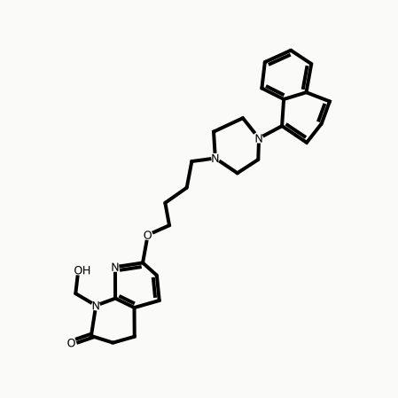 O=C1CCc2ccc(OCCCCN3CCN(c4cccc5ccccc45)CC3)nc2N1CO